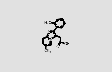 Cc1ccc2nc(-c3ccccc3C)c(CC(=O)O)n2c1